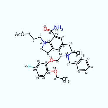 CC(=O)OCCCN1CCc2cc(C[C@@H](C)N(CCOc3cc(F)ccc3OCC(F)(F)F)Cc3ccccc3)cc(C(N)=O)c21